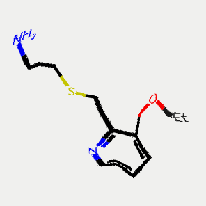 CCOc1cccnc1CSCCN